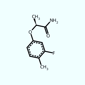 Cc1ccc(O[C@@H](C)C(N)=O)cc1F